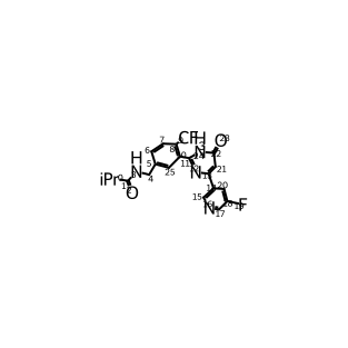 CC(C)C(=O)NCc1ccc(C(F)(F)F)c(-c2nc(-c3cncc(F)c3)cc(=O)[nH]2)c1